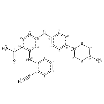 C#Cc1ccccc1Nc1cc(Nc2ccc(N3CCN(C)CC3)cn2)ncc1C(N)=O